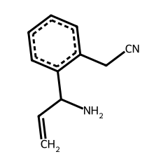 C=CC(N)c1ccccc1CC#N